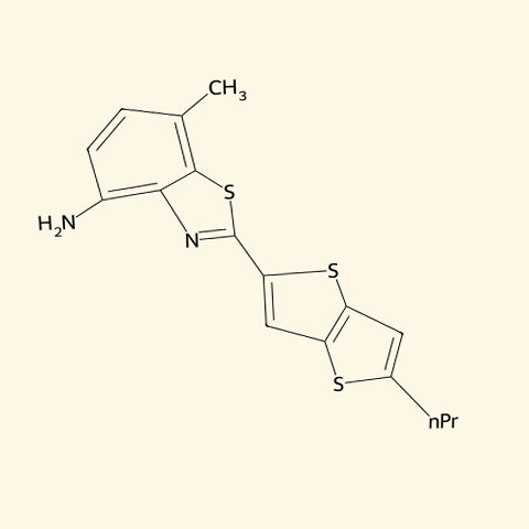 CCCc1cc2sc(-c3nc4c(N)ccc(C)c4s3)cc2s1